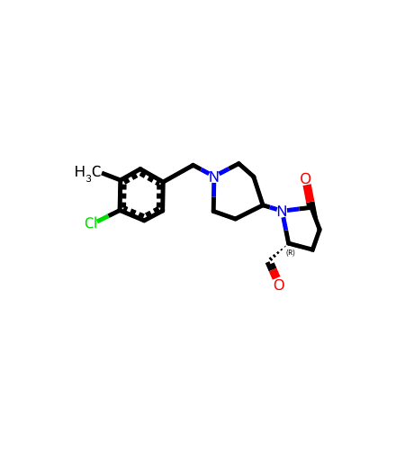 Cc1cc(CN2CCC(N3C(=O)CC[C@@H]3C=O)CC2)ccc1Cl